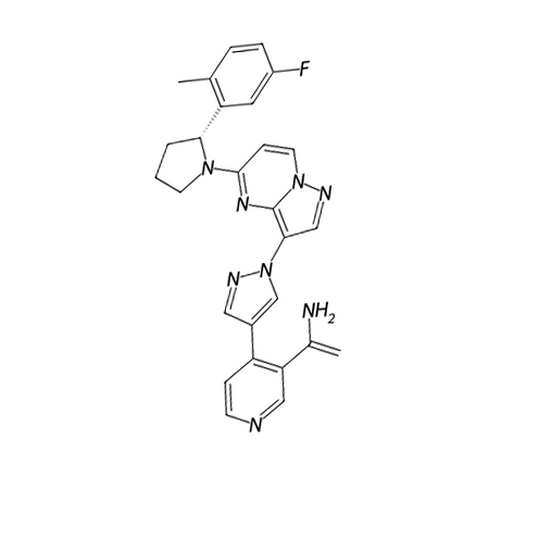 C=C(N)c1cnccc1-c1cnn(-c2cnn3ccc(N4CCC[C@@H]4c4cc(F)ccc4C)nc23)c1